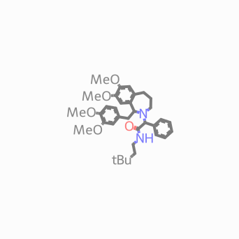 COc1ccc(CC2c3cc(OC)c(OC)cc3CCCN2C(C(=O)NCCC(C)(C)C)c2ccccc2)cc1OC